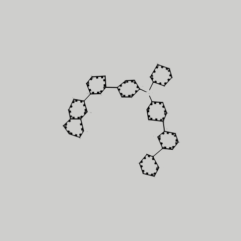 c1ccc(-c2cccc(-c3ccc(N(c4ccccc4)c4ccc(-c5cccc(-c6ccc7ccccc7c6)c5)cc4)cc3)c2)cc1